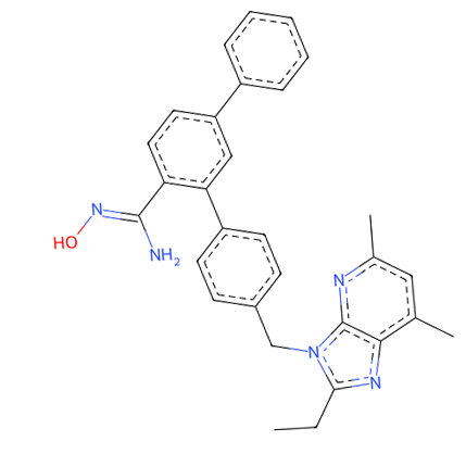 CCc1nc2c(C)cc(C)nc2n1Cc1ccc(-c2cc(-c3ccccc3)ccc2/C(N)=N/O)cc1